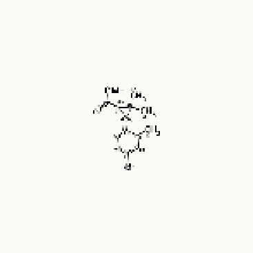 COC(=O)[C@@H]1[C@@H](c2ccc(Br)cc2C)C1(C)C